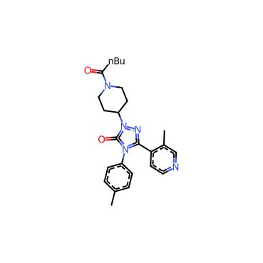 CCCCC(=O)N1CCC(n2nc(-c3ccncc3C)n(-c3ccc(C)cc3)c2=O)CC1